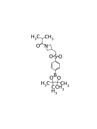 CC(C)C(=O)N1CC(CS(=O)(=O)c2ccc(B3OC(C)(C)C(C)(C)O3)cc2)C1